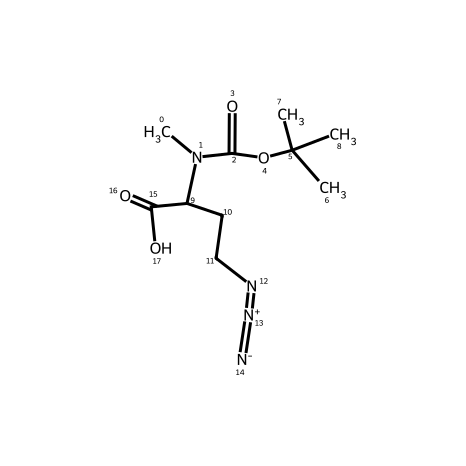 CN(C(=O)OC(C)(C)C)C(CCN=[N+]=[N-])C(=O)O